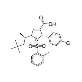 Cc1ccccc1S(=O)(=O)N1C([C@H](C)CC(C)(C)C)C=C(C(=O)O)[C@@H]1c1ccc(Cl)cc1